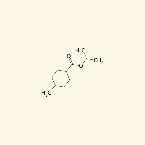 CC1CCC(C(=O)OC(C)C)CC1